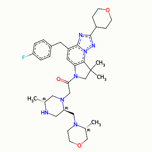 C[C@@H]1CN(CC(=O)N2CC(C)(C)c3c2cc(Cc2ccc(F)cc2)c2nc(C4CCOCC4)nn32)[C@@H](CN2CCOC[C@H]2C)CN1